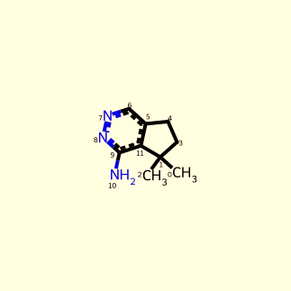 CC1(C)CCc2cnnc(N)c21